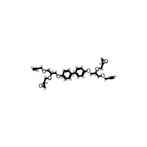 C#CCOCC(COc1ccc(-c2ccc(OCC(COCC#C)OCC3CO3)cc2)cc1)OCC1CO1